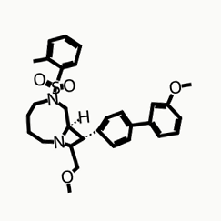 COCC1[C@@H](c2ccc(-c3cccc(OC)c3)cc2)[C@@H]2CN(S(=O)(=O)c3ccccc3C)CCCCN12